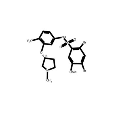 COc1cc(S(=O)(=O)Nc2ccc(C(F)(F)F)c(O[C@@H]3CCN(C)C3)c2)c(Br)cc1Br